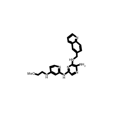 COCCNc1ccnc(Nc2cnc(N)c(NCc3ccc4ncccc4c3)n2)c1